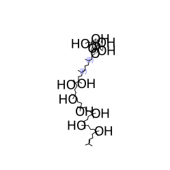 CC(C)=CCCC(C)(O)CCCC(C)(O)CCCC(C)(O)CCCC(C)(O)CCCC(C)(O)CCCC(C)(O)C(O)CC/C(C)=C/CC/C(C)=C/CO[C@@H]1O[C@H](CO)[C@@H](O)[C@H](O)[C@H]1O